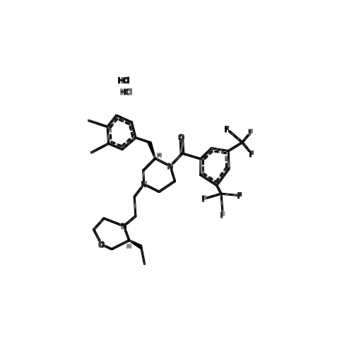 CC[C@H]1COCCN1CCN1CCN(C(=O)c2cc(C(F)(F)F)cc(C(F)(F)F)c2)[C@H](Cc2ccc(C)c(C)c2)C1.Cl.Cl